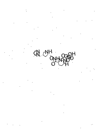 O=C(NOC[C@@H]1C[C@H](Cn2cccn2)CN1)[C@@H]1CC[C@@H]2CN1C(=O)N2OS(=O)(=O)O